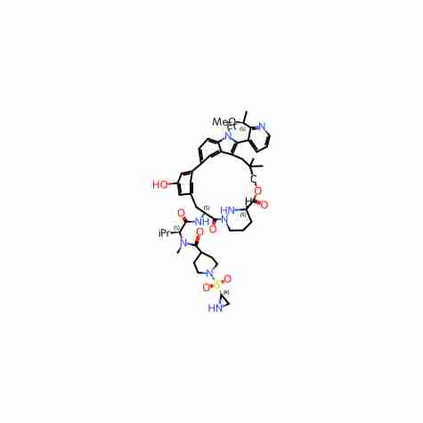 CCn1c(-c2cccnc2[C@H](C)OC)c2c3cc(ccc31)-c1cc(O)cc(c1)C[C@H](NC(=O)[C@H](C(C)C)N(C)C(=O)C1CCN(S(=O)(=O)[C@@H]3CN3)CC1)C(=O)N1CCC[C@H](N1)C(=O)OCC(C)(C)C2